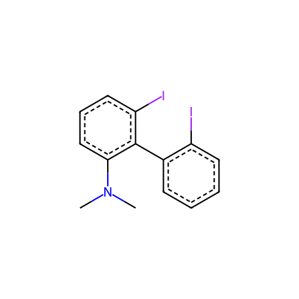 CN(C)c1cccc(I)c1-c1ccccc1I